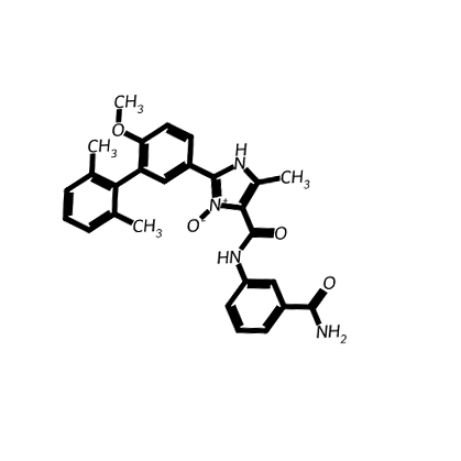 COc1ccc(-c2[nH]c(C)c(C(=O)Nc3cccc(C(N)=O)c3)[n+]2[O-])cc1-c1c(C)cccc1C